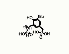 CC(C)(C)c1cc(CP(=O)(O)O)cc(C(C)(C)C)c1O.O=[PH](O)O